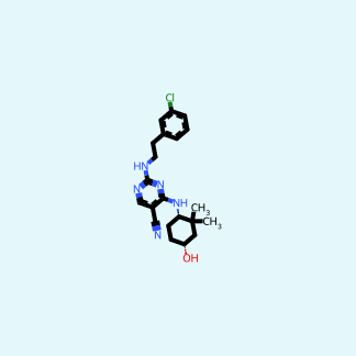 CC1(C)C[C@H](O)CC[C@@H]1Nc1nc(NCCc2cccc(Cl)c2)ncc1C#N